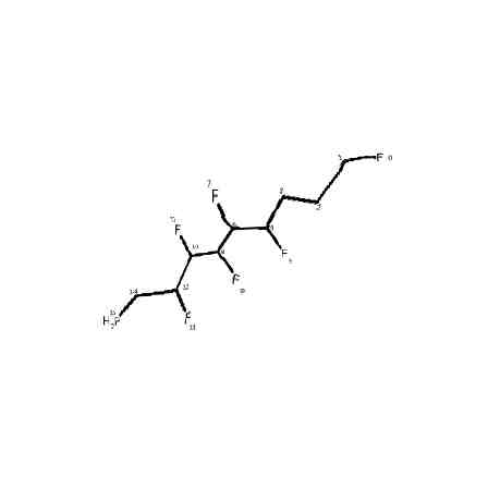 FCCCC(F)C(F)C(F)C(F)C(F)CP